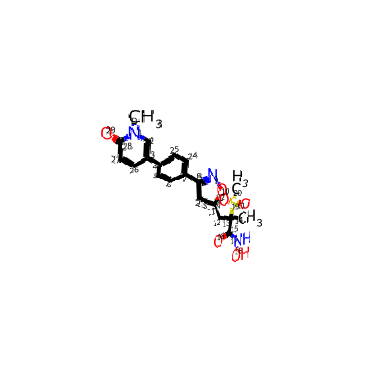 Cn1cc(-c2ccc(C3=NO[C@@H](CC(C)(C(=O)NO)S(C)(=O)=O)C3)cc2)ccc1=O